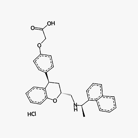 C[C@@H](NC[C@H]1C[C@H](c2ccc(OCC(=O)O)cc2)c2ccccc2O1)c1cccc2ccccc12.Cl